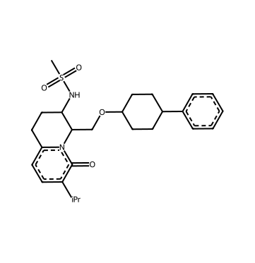 CC(C)c1ccc2n(c1=O)C(COC1CCC(c3ccccc3)CC1)C(NS(C)(=O)=O)CC2